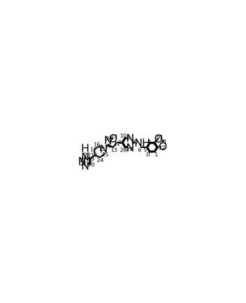 c1cc2c(cc1CNc1ncc(C3CC(N4CCC(c5cnn[nH]5)CC4)=NO3)cn1)OCO2